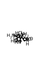 Cl.NNC(=O)c1ccc2c(c1C1C=CNC1)c(C1C=CNC1)c(C1=CC3=CC(=C=O)NC3C=C1)n2C(N)=O